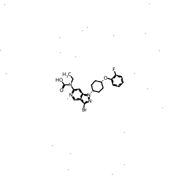 CCN(C(=O)O)c1cc2c(cn1)c(Br)nn2[C@H]1CC[C@@H](Oc2ccccc2F)CC1